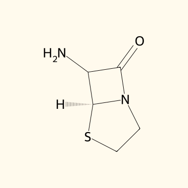 NC1C(=O)N2CCS[C@@H]12